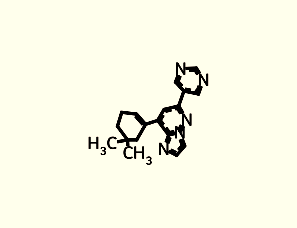 CC1(C)CCC=C(c2cc(-c3cncnc3)nn3ccnc23)C1